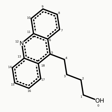 OCCCCc1c2ccccc2nc2ccccc12